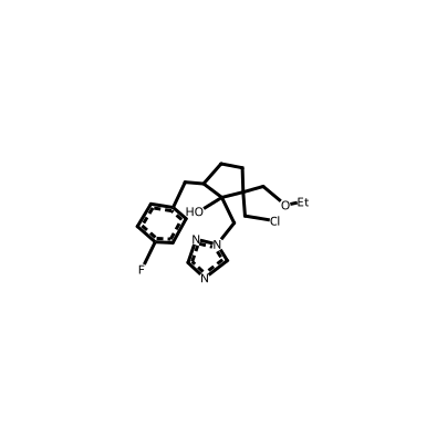 CCOCC1(CCl)CCC(Cc2ccc(F)cc2)C1(O)Cn1cncn1